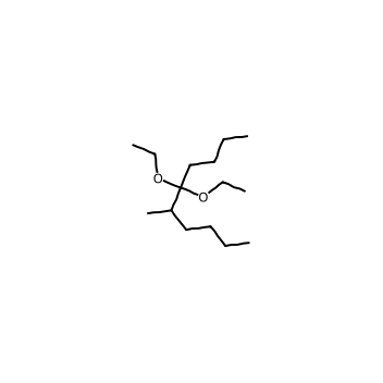 CCCCC(C)C(CCCC)(OCC)OCC